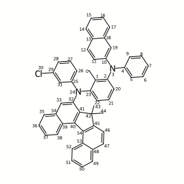 Cc1c(N(c2ccccc2)c2ccc3ccccc3c2)cccc1N(c1cccc(Cl)c1)c1cc2ccccc2c2c1C(C)(C)c1ccc3ccccc3c1-2